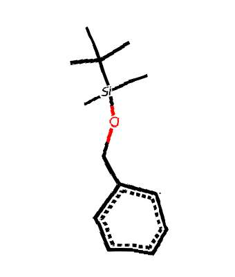 CC(C)(C)[Si](C)(C)OCc1[c]cccc1